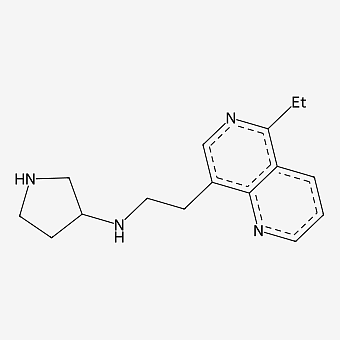 CCc1ncc(CCNC2CCNC2)c2ncccc12